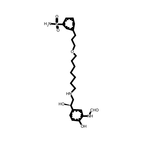 NS(=O)(=O)c1cccc(CCCOCCCCCCCNC[C@H](O)c2ccc(O)c(NC=O)c2)c1